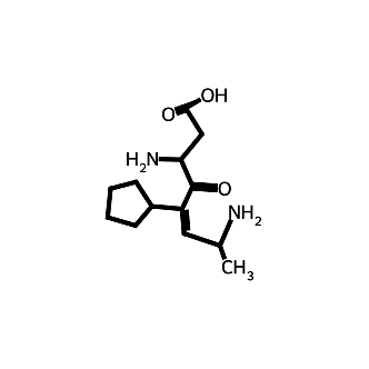 CC(N)C=C(C(=O)C(N)CC(=O)O)C1CCCC1